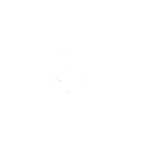 O=C1C=CC(=O)N1.[Cl-].[H+]